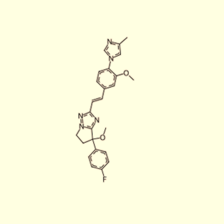 COc1cc(C=Cc2nc3n(n2)CCC3(OC)c2ccc(F)cc2)ccc1-n1cnc(C)c1